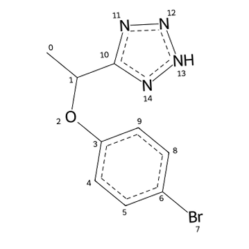 CC(Oc1ccc(Br)cc1)c1nn[nH]n1